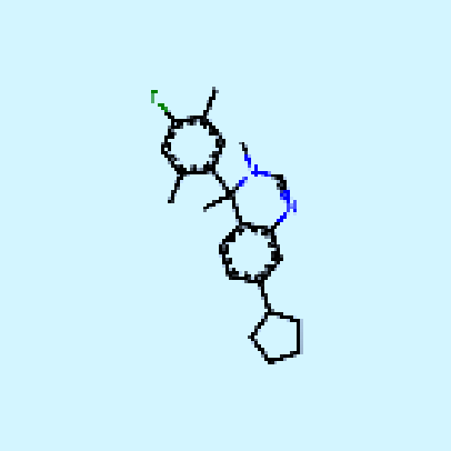 Cc1cc(C2(C)c3ccc(C4CCCC4)cc3N=CN2C)c(C)cc1F